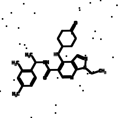 CCn1ncc2c(NC3CCC(=O)CC3)c(C(=O)NC(C)c3ccc(C)cc3C)cnc21